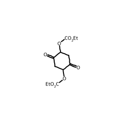 CCOC(=O)OC1CC(=O)C(OC(=O)OCC)CC1=O